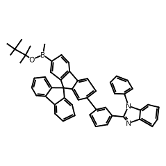 CB(OC(C)(C)C(C)(C)C)c1ccc2c(c1)C1(c3ccccc3-c3ccccc31)c1cc(-c3cccc(-c4nc5ccccc5n4-c4ccccc4)c3)ccc1-2